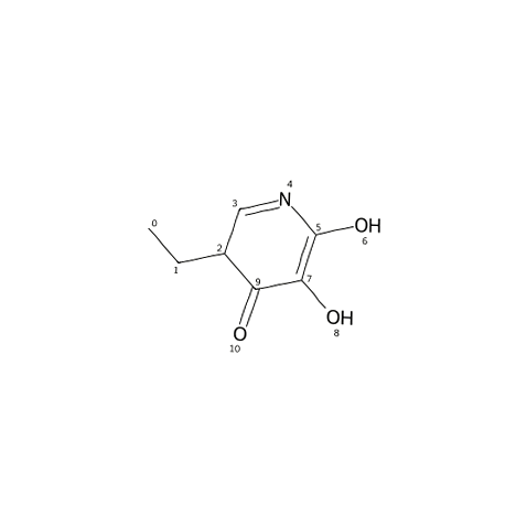 CCC1C=NC(O)=C(O)C1=O